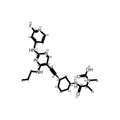 CCCNc1nc(Nc2ccnc(F)c2)ncc1C#C[C@@H]1CCC[C@H](NC(=O)C(C)N(C)C(=O)O)C1